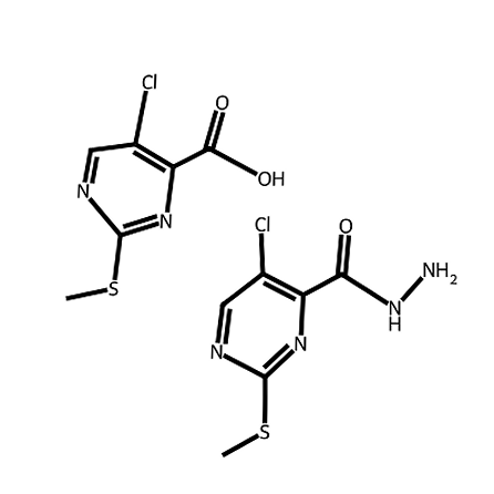 CSc1ncc(Cl)c(C(=O)NN)n1.CSc1ncc(Cl)c(C(=O)O)n1